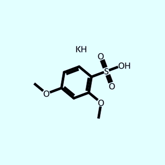 COc1ccc(S(=O)(=O)O)c(OC)c1.[KH]